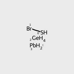 SBr.[GeH4].[PbH2]